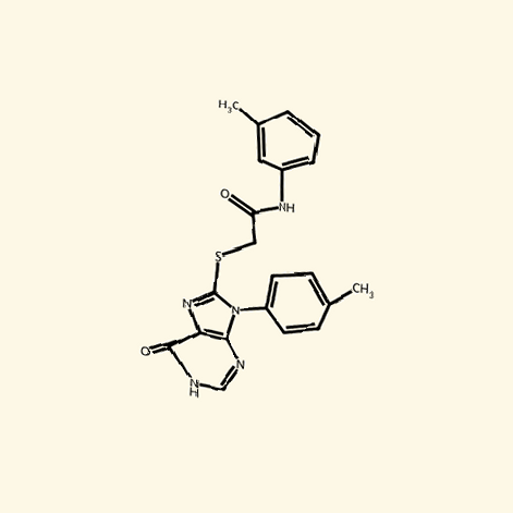 Cc1ccc(-n2c(SCC(=O)Nc3cccc(C)c3)nc3c(=O)[nH]cnc32)cc1